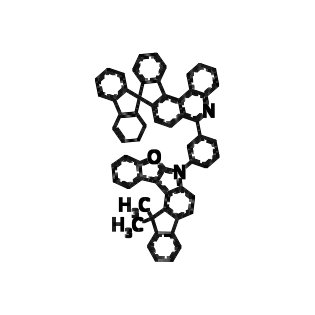 CC1(C)c2ccccc2-c2ccc3c(c21)c1c2ccccc2oc1n3-c1cccc(-c2nc3ccccc3c3c4c(ccc23)C2(C3=C(C=CCC3)c3ccccc32)c2ccccc2-4)c1